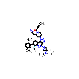 CC#CC(=O)N1CC[C@H](n2nnc3c(N4CC(C)(N(C)C)C4)nc4c(F)c(-c5cccc(C)c5C)c(C)cc4c32)C[C@H]1CC#N